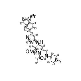 C=CC(=O)NC(=C\N(C)C1CCN(C)CC1)/C=C(/Nc1cc(-c2ccc3c(cnn3C(C)C)c2)ncn1)C(=C)OC